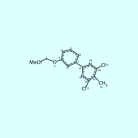 COCOc1cccc(-c2nc(Cl)c(C)c(Cl)n2)c1